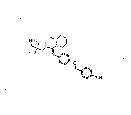 CC1CCCCN1/C(=N\c1ccc(OCc2ccc(C#N)cc2)cc1)NCC(C)(C)CN